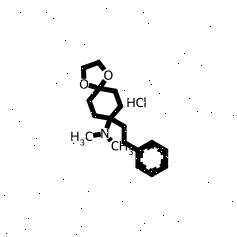 CN(C)C1(CCc2ccccc2)CCC2(CC1)OCCO2.Cl